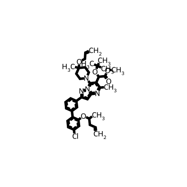 C=CCOC1(C)CCN(c2c(C(OC(C)(C)C)C(=O)OC)c(C)nc3cc(-c4cccc(-c5ccc(Cl)cc5OC(C)CC=C)c4)nn23)CC1